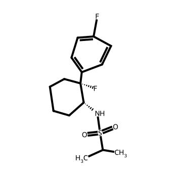 CC(C)S(=O)(=O)N[C@@H]1CCCC[C@@]1(F)c1ccc(F)cc1